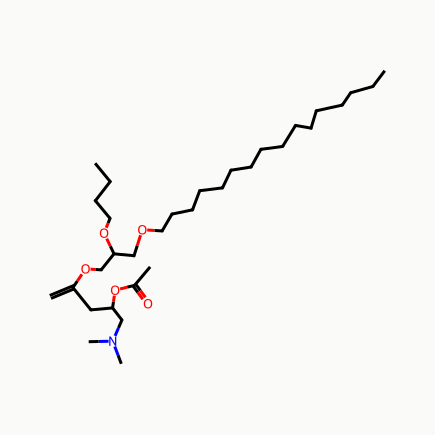 C=C(CC(CN(C)C)OC(C)=O)OCC(COCCCCCCCCCCCCCCCC)OCCCC